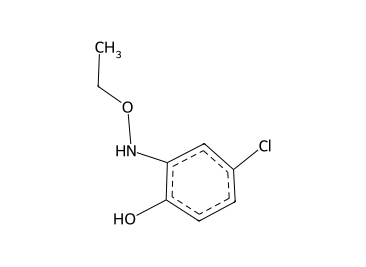 CCONc1cc(Cl)ccc1O